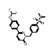 CN(C)S(=O)(=O)c1ccc(Cn2nc(-c3ccc(OC(F)F)cc3)ccc2=O)cc1